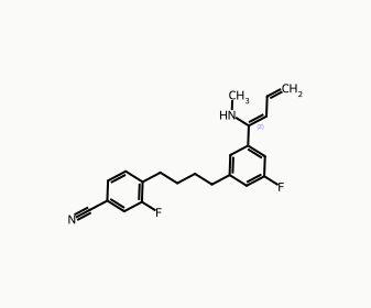 C=C/C=C(\NC)c1cc(F)cc(CCCCc2ccc(C#N)cc2F)c1